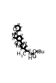 CCCOc1c(-c2ccc(C(C)CNC(=O)OC(C)(C)C)cn2)ccc2c1cnn2C1CCCCO1